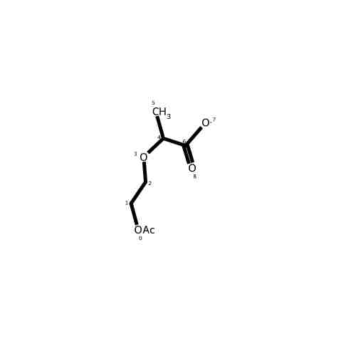 CC(=O)OCCOC(C)C([O])=O